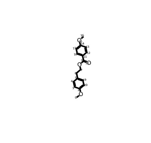 COc1ccc(CCOC(=O)c2ccc(OC)cc2)cc1